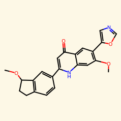 COc1cc2[nH]c(-c3ccc4c(c3)C(OC)CC4)cc(=O)c2cc1-c1cnco1